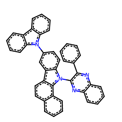 c1ccc(-c2nc3ccccc3nc2-n2c3ccc(-n4c5ccccc5c5ccccc54)cc3c3ccc4ccccc4c32)cc1